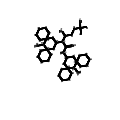 CCC(COC(C)(C)CC)N(C(=O)NC1CC2(CCCCC2)N(O)C2(CCCCC2)C1)C1CC2(CCCCC2)N(O)C2(CCCCC2)C1